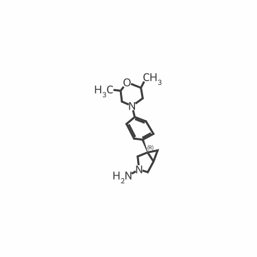 CC1CN(c2ccc([C@@]34CC3CN(N)C4)cc2)CC(C)O1